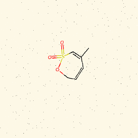 CC1=CS(=O)(=O)OCC=C1